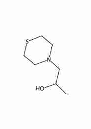 [CH2]C(O)CN1CCSCC1